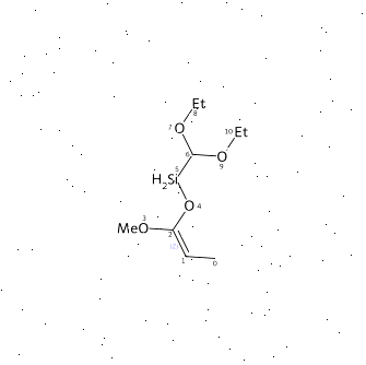 C/C=C(/OC)O[SiH2]C(OCC)OCC